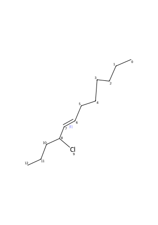 CCCCCC/C=C/C(Cl)CCC